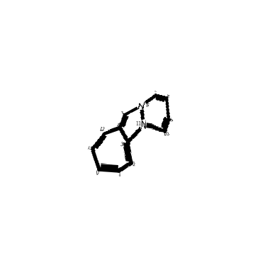 C1=CC=C2C(=CN3C=CC=CN23)C=C1